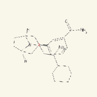 NC(=O)c1cccc([C@H]2C[C@H]3CC[C@@H](C2)N3CCC(N)C2CCCCC2)c1